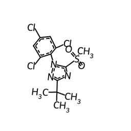 CC(C)(C)c1nc(S(C)(=O)=O)n(-c2c(Cl)cc(Cl)cc2Cl)n1